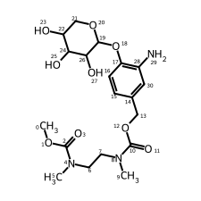 COC(=O)N(C)CCN(C)C(=O)OCc1ccc(OC2OCC(O)C(O)C2O)c(N)c1